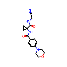 N#CCNC(=O)C1(NC(=O)c2ccc(N3CCOCC3)cc2)CC1